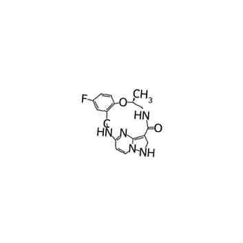 C[C@H]1CNC(=O)C2=C3N=C(C=CN3NC2)NCc2cc(F)ccc2O1